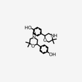 CC1(C)CNCC(c2ccc(O)cc2)O1.CC1(C)COC(c2ccc(O)cc2)CN1